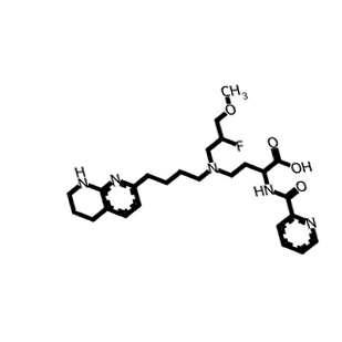 COCC(F)CN(CCCCc1ccc2c(n1)NCCC2)CCC(NC(=O)c1ccccn1)C(=O)O